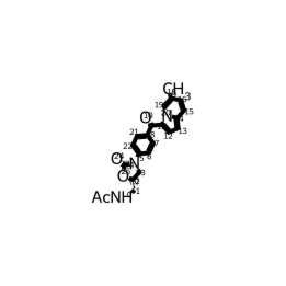 CC(=O)NC[C@H]1CN(c2ccc(C(=O)c3ccc4ccc(C)cn34)cc2)C(=O)O1